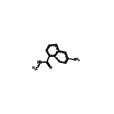 CNC(=O)c1cccc2cc(N)ccc12